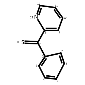 S=C(c1ccccc1)c1ccccn1